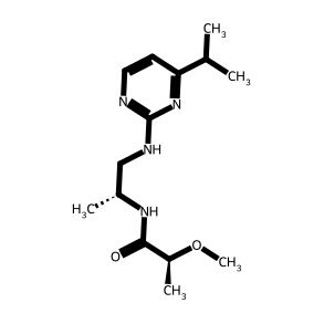 CO[C@@H](C)C(=O)N[C@H](C)CNc1nccc(C(C)C)n1